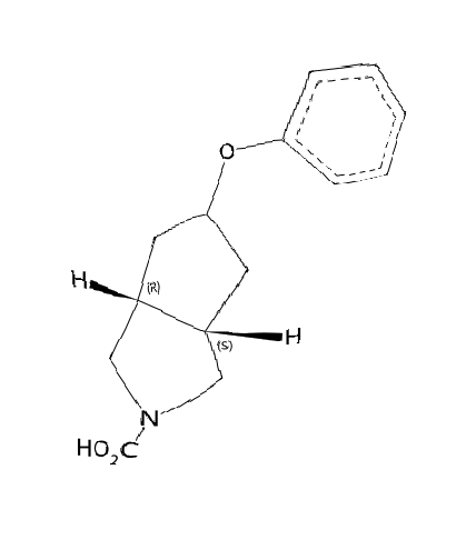 O=C(O)N1C[C@H]2CC(Oc3ccccc3)C[C@H]2C1